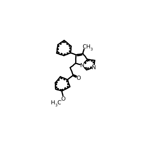 COc1cccc(C(=O)CC2C(c3ccccc3)=C(C)c3cncn32)c1